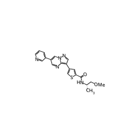 COC[C@H](C)NC(=O)c1cc(-c2cnn3cc(-c4cccnc4)cnc23)cs1